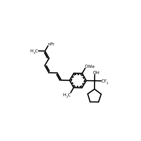 CCC/C(C)=C/C=C\C=C\c1cc(OC)c(C(O)(C2CCCC2)C(F)(F)F)cc1C